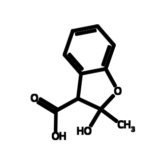 CC1(O)Oc2ccccc2C1C(=O)O